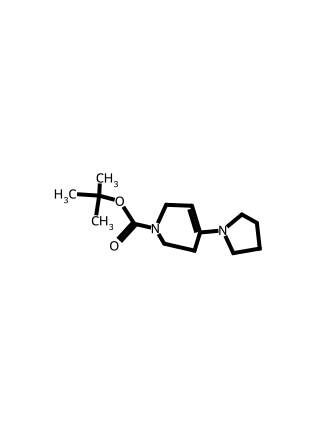 CC(C)(C)OC(=O)N1CC=C(N2CCCC2)CC1